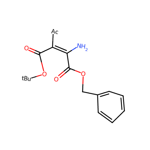 CC(=O)C(C(=O)OC(C)(C)C)=C(N)C(=O)OCc1ccccc1